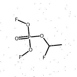 CC(F)OP(=O)(OF)OF